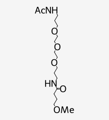 COCCCC(=O)NCCCOCCOCCOCCCNC(C)=O